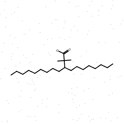 CCCCCCCCCC(CCCCCCCC)C(C)(C)C([O])=O